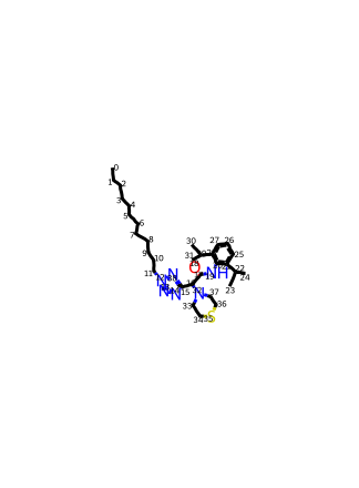 CCCCCCCCCCCCn1nnc(C(C(=O)Nc2c(C(C)C)cccc2C(C)C)N2CCSCC2)n1